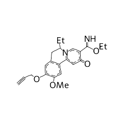 C#CCOc1cc2c(cc1OC)-c1cc(=O)c(C(=N)OCC)cn1C(CC)C2